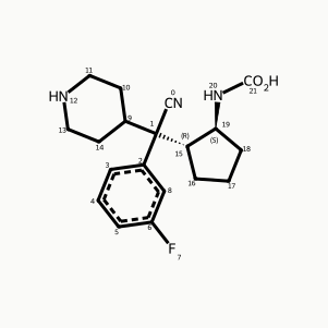 N#CC(c1cccc(F)c1)(C1CCNCC1)[C@H]1CCC[C@@H]1NC(=O)O